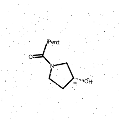 CCCC(C)C(=O)N1CC[C@@H](O)C1